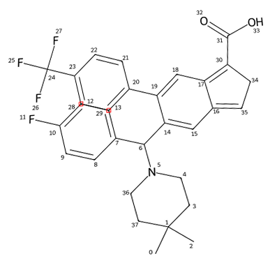 CC1(C)CCN(C(c2ccc(F)cc2)c2cc3c(cc2-c2ccc(C(F)(F)F)cc2)=C(C(=O)O)CC=3)CC1